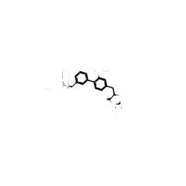 CNCc1cccc(-c2ccc(CC3SC(=O)NC3=O)cc2C)c1